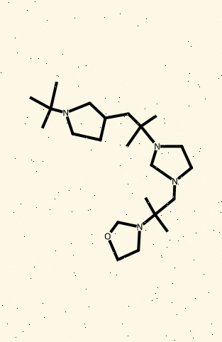 CC(C)(C)N1CCC(CC(C)(C)N2CCN(CC(C)(C)N3CCOC3)C2)C1